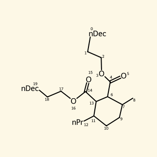 CCCCCCCCCCCCOC(=O)C1C(C)CCC(CCC)C1C(=O)OCCCCCCCCCCCC